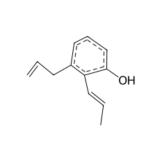 C=CCc1cccc(O)c1C=CC